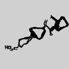 O=C(Nc1ccc(N2CCN(C(=O)O)CC2)cc1)c1ccccc1I